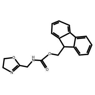 O=C(NCC1=NCCO1)OCC1c2ccccc2-c2ccccc21